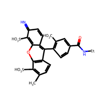 CCNC(=O)c1ccc(-c2c3ccc(=N)c(S(=O)(=O)O)c-3oc3c(S(=O)(=O)O)c(C)ccc23)c(C(=O)O)c1